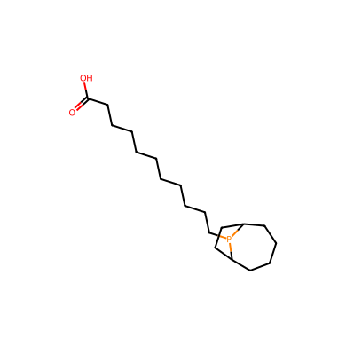 O=C(O)CCCCCCCCCCP1C2CCCCC1CC2